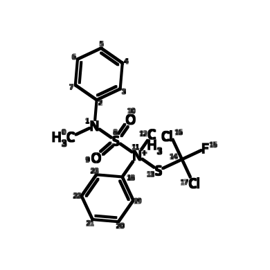 CN(c1ccccc1)S(=O)(=O)[N+](C)(SC(F)(Cl)Cl)c1ccccc1